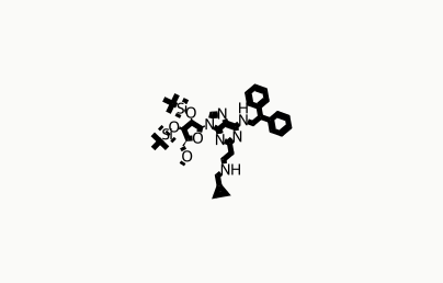 COC[C@H]1O[C@@H](n2cnc3c(NCC(c4ccccc4)c4ccccc4)nc(CCNCC4CC4)nc32)[C@@H](O[Si](C)(C)C(C)(C)C)[C@@H]1O[Si](C)(C)C(C)(C)C